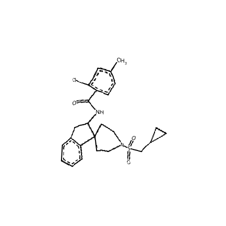 Cc1ccc(C(=O)NC2Cc3ccccc3C23CCN(S(=O)(=O)CC2CC2)CC3)c(Cl)c1